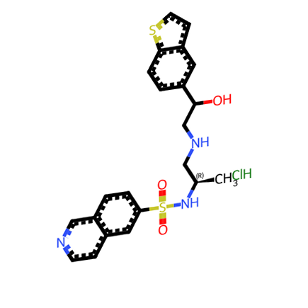 C[C@H](CNCC(O)c1ccc2sccc2c1)NS(=O)(=O)c1ccc2cnccc2c1.Cl